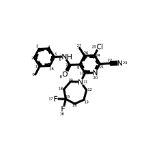 Cc1cccc(NC(=O)c2c(N3CCCC(F)(F)CC3)nc(C#N)c(Cl)c2C)c1